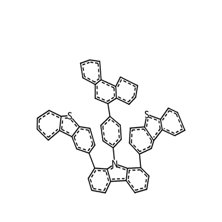 c1ccc2c(c1)cc(-c1ccc(-n3c4c(-c5ccc6sc7ccccc7c6c5)cccc4c4cccc(-c5ccc6sc7ccccc7c6c5)c43)cc1)c1ccccc12